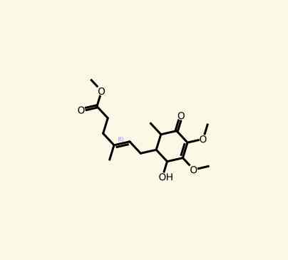 COC(=O)CC/C(C)=C/CC1C(C)C(=O)C(OC)=C(OC)C1O